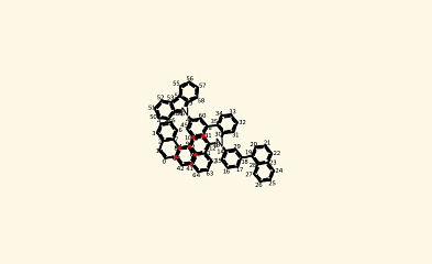 C1=Cc2ccccc2C(c2ccc(N(c3cccc(-c4cccc5ccccc45)c3)c3ccccc3-c3cc(-c4ccccc4)cc(-n4c5ccccc5c5ccccc54)c3)c3ccccc23)C1